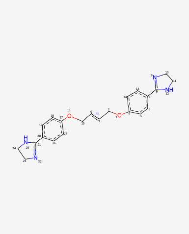 C(=C\COc1ccc(C2=NCCN2)cc1)/COc1ccc(C2=NCCN2)cc1